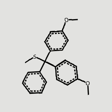 COc1ccc(C(SC)(c2ccccc2)c2ccc(OC)cc2)cc1